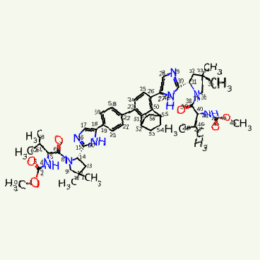 COC(=O)N[C@H](C(=O)N1CC(C)(C)C[C@H]1c1ncc(-c2ccc(-c3ccc(-c4cnc([C@@H]5CC(C)(C)CN5C(=O)[C@@H](NC(=O)OC)C(C)C)[nH]4)c4c3C3CCC4CC3)cc2)[nH]1)C(C)C